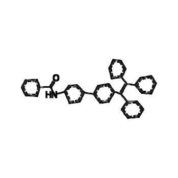 O=C(Nc1ccc(-c2ccc(C(=C(c3ccccc3)c3ccccc3)c3ccccc3)cc2)cc1)c1ccccc1